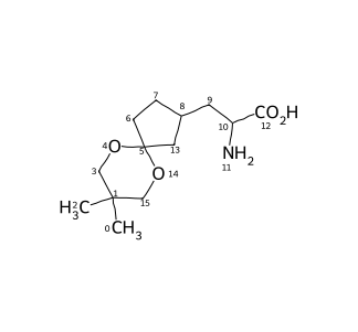 CC1(C)COC2(CCC(CC(N)C(=O)O)C2)OC1